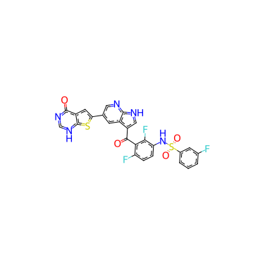 O=C(c1c(F)ccc(NS(=O)(=O)c2cccc(F)c2)c1F)c1c[nH]c2ncc(-c3cc4c(=O)nc[nH]c4s3)cc12